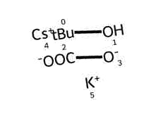 CC(C)(C)O.O=C([O-])[O-].[Cs+].[K+]